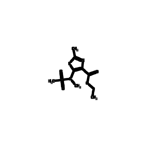 CCOC(=O)c1nc(C)sc1N(C)S(C)(=O)=O